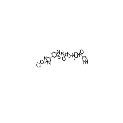 Cc1cc(C(=O)N2CCN(C3CC(C(=O)Nc4nc5ccc(-c6cnc(COC7CCCC7)nc6)cc5s4)C3)C(C)C2)ccn1